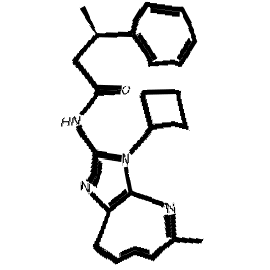 CC1=Nc2c(nc(NC(=O)C[C@@H](C)c3ccccc3)n2C2CCC2)CC=C1